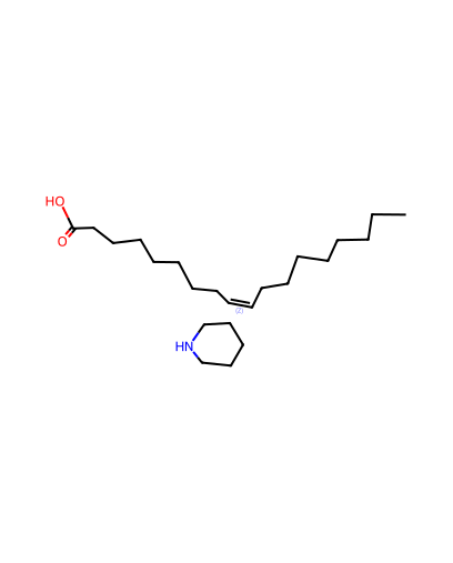 C1CCNCC1.CCCCCCCC/C=C\CCCCCCCC(=O)O